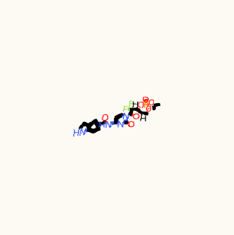 CC(C)OP1(=O)OC[C@H]2OC(n3ccc(NC(=O)c4ccc5c(c4)CCN5)nc3=O)C(F)(F)[C@@H]2O1